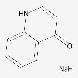 O=c1cc[nH]c2ccccc12.[NaH]